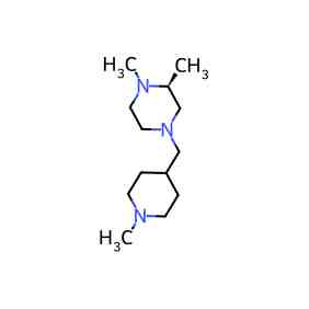 C[C@H]1CN(CC2CCN(C)CC2)CCN1C